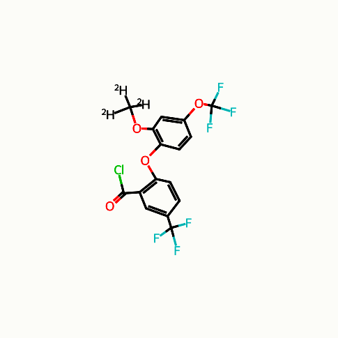 [2H]C([2H])([2H])Oc1cc(OC(F)(F)F)ccc1Oc1ccc(C(F)(F)F)cc1C(=O)Cl